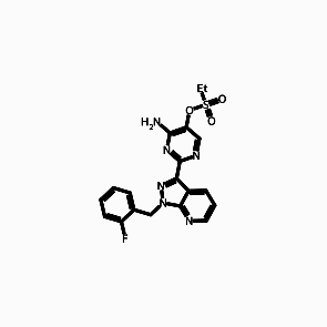 CCS(=O)(=O)Oc1cnc(-c2nn(Cc3ccccc3F)c3ncccc23)nc1N